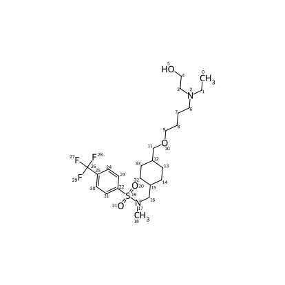 CCN(CCO)CCCCOCC1CCC(CN(C)S(=O)(=O)c2ccc(C(F)(F)F)cc2)CC1